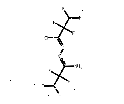 NC(=NN=C(Cl)C(F)(F)C(F)F)C(F)(F)C(F)F